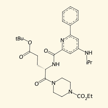 CCOC(=O)N1CCN(C(=O)[C@H](CCC(=O)OC(C)(C)C)NC(=O)c2cc(NC(C)C)cc(-c3ccccc3)n2)CC1